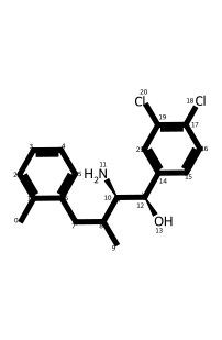 Cc1ccccc1CC(C)[C@@H](N)[C@H](O)c1ccc(Cl)c(Cl)c1